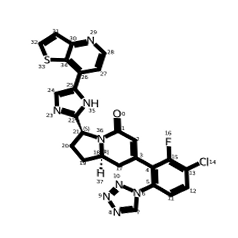 O=C1C=C(c2c(-n3cnnn3)ccc(Cl)c2F)C[C@H]2CC[C@@H](c3ncc(-c4ccnc5ccsc45)[nH]3)N12